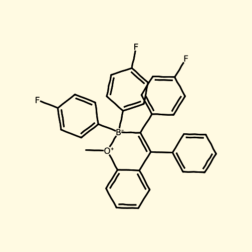 C[O+]1c2ccccc2C(c2ccccc2)=C(c2ccc(F)cc2)[B-]1(c1ccc(F)cc1)c1ccc(F)cc1